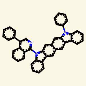 c1ccc(-c2cnc(-n3c4ccccc4c4cc5cc6c7ccccc7n(-c7ccccc7)c6cc5cc43)c3ccccc23)cc1